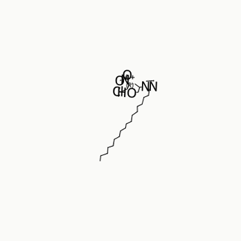 CCCCCCCCCCCCCCCCCC1=NCCN1C(CO)C[C@H](CCl)[N+](=O)[O-]